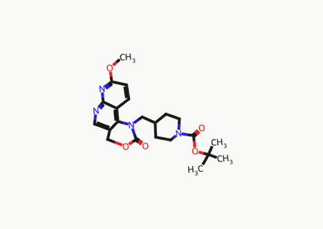 COc1ccc2c3c(cnc2n1)COC(=O)N3CC1CCN(C(=O)OC(C)(C)C)CC1